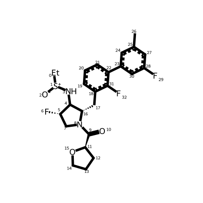 CC[S+]([O-])NC1[C@@H](F)CN(C(=O)[C@H]2CCCO2)[C@H]1Cc1cccc(-c2cc(C)cc(F)c2)c1F